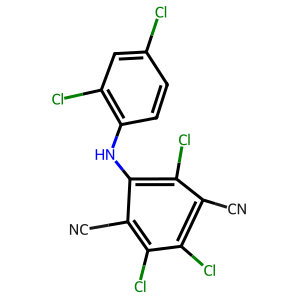 N#Cc1c(Cl)c(Cl)c(C#N)c(Nc2ccc(Cl)cc2Cl)c1Cl